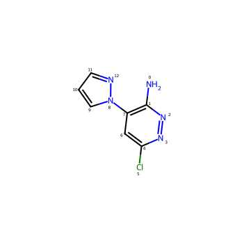 Nc1nnc(Cl)cc1-n1cccn1